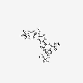 CCC(c1ccc(N2CC(C(N)=O)n3nc4c(c3C2=O)CNC(C)(C)C4)cc1)c1ccc(S(C)(=O)=O)cc1